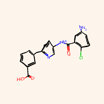 Nc1ccc(Cl)c(C(=O)Nc2ccc(-c3cccc(C(=O)O)c3)nc2)c1